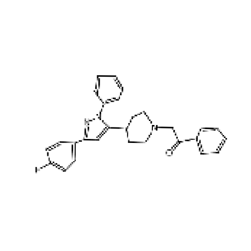 O=C(CN1CCC(c2cc(-c3ccc(F)cc3)nn2-c2ccccn2)CC1)c1ccccc1